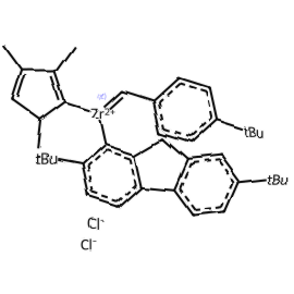 CC1=CC(C)[C](/[Zr+2](=[CH]/c2ccc(C(C)(C)C)cc2)[c]2c(C(C)(C)C)ccc3c2Cc2cc(C(C)(C)C)ccc2-3)=C1C.[Cl-].[Cl-]